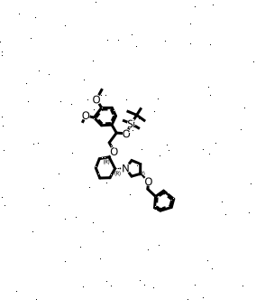 COc1ccc(C(CO[C@@H]2CCCC[C@H]2N2CC[C@@H](OCc3ccccc3)C2)O[Si](C)(C)C(C)(C)C)cc1OC